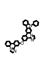 c1ccc(-n2c3ccccc3c3cc4c5ccc(Oc6ccc7c8ccccc8n8ccnc8c7c6)cc5c5nccn5c4cc32)cc1